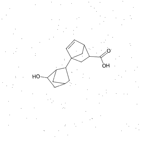 O=C(O)C1CC2(C3CC4CC(O)C3C4)C=CC1C2